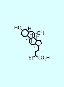 CCC(C[C@@H](C)[C@H]1CC[C@H]2[C@@H]3[C@@H](O)C[C@@H]4C[C@H](O)CC[C@]4(C)[C@H]3CC[C@]12C)C(=O)O